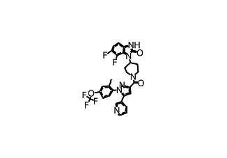 Cc1cc(OC(F)(F)F)ccc1-n1nc(C(=O)N2CCC(n3c(=O)[nH]c4ccc(F)c(F)c43)CC2)cc1-c1cccnc1